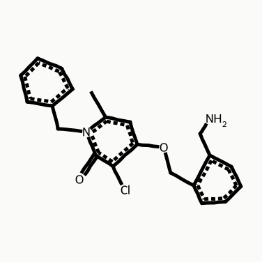 Cc1cc(OCc2ccccc2CN)c(Cl)c(=O)n1Cc1ccccc1